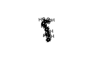 Nc1ccc2c(O)cc(S(=O)(=O)O)cc2c1N=Nc1ccc(Nc2nc(F)nc(Nc3ccccc3)n2)cc1